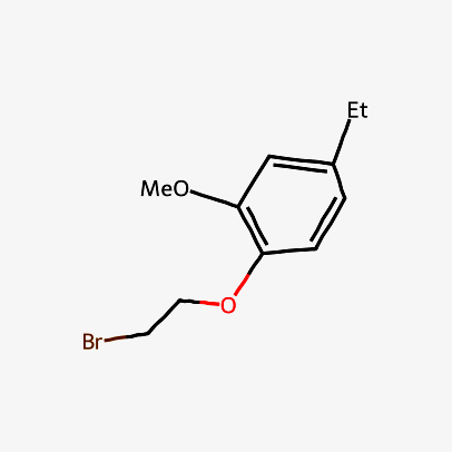 [CH2]Cc1ccc(OCCBr)c(OC)c1